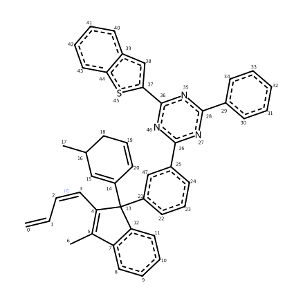 C=C/C=C\C1=C(C)c2ccccc2C1(C1=CC(C)CC=C1)c1cccc(-c2nc(-c3ccccc3)nc(-c3cc4ccccc4s3)n2)c1